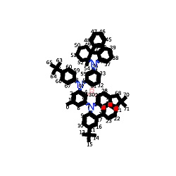 Cc1cc2c3c(c1)N(c1ccc(C(C)(C)C)cc1-c1ccccc1)c1cc4c(cc1B3c1ccc(N3c5ccccc5C5(c6ccccc6)CCCCC35C)cc1N2c1ccc(C(C)(C)C)cc1)CC(C)(C)C4